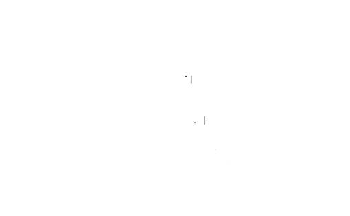 Cc1ccnc2c(NCC3CC3)ccc(F)c12